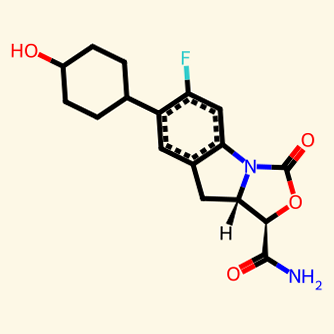 NC(=O)[C@@H]1OC(=O)N2c3cc(F)c(C4CCC(O)CC4)cc3C[C@@H]12